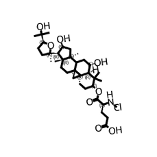 CC(C)(O)[C@@H]1CC[C@](C)([C@H]2[C@@H](O)C[C@@]3(C)C4C[C@H](O)[C@H]5C(C)(C)[C@@H](OC(=O)[C@H](CCC(=O)O)NCl)CC[C@@]56C[C@@]46CC[C@]23C)O1